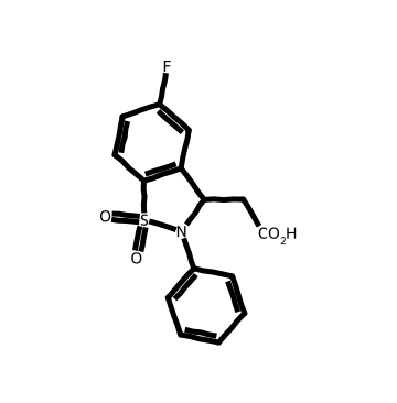 O=C(O)CC1c2cc(F)ccc2S(=O)(=O)N1c1ccccc1